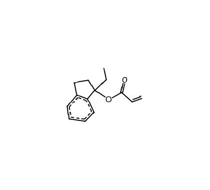 C=CC(=O)OC1(CC)CCc2ccccc21